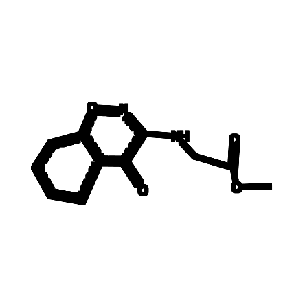 COC(=O)CNc1noc2ccccc2c1=O